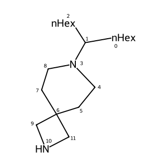 CCCCCCC(CCCCCC)N1CCC2(CC1)CNC2